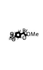 COC(=O)C(Br)c1ccc(S(C)(=O)=O)cc1